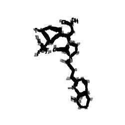 O=C(O)CC(c1ccc(F)c(C(F)(F)F)c1)N1CCN(CCCc2ccc3c(n2)NCCC3)C1=O